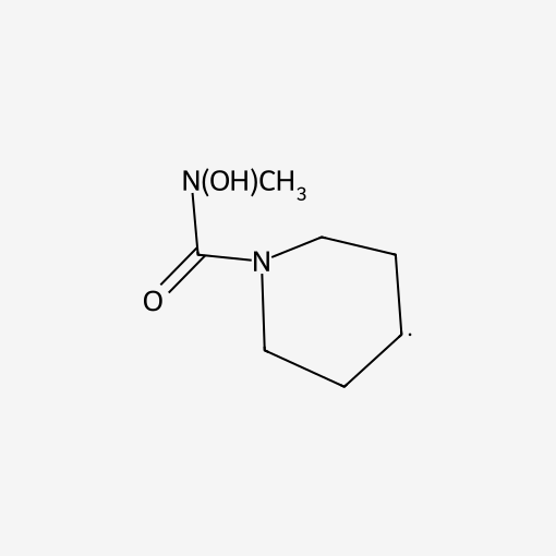 CN(O)C(=O)N1CC[CH]CC1